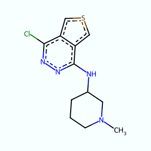 CN1CCCC(Nc2nnc(Cl)c3cscc23)C1